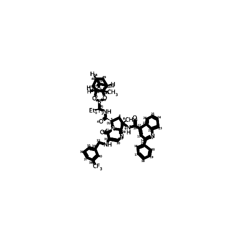 CC[C@H](NC(=O)[C@@H]1C[C@@](C)(NC(=O)c2cc(-c3ccccc3)nc3ccccc23)c2ncc(NCc3cccc(C(F)(F)F)c3)c(=O)n21)B1O[C@@H]2C[C@@H]3C[C@@H](C3(C)C)[C@]2(C)O1